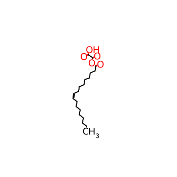 CCCCCCCC/C=C\CCCCCCCC(=O)OC(=O)C(=O)O